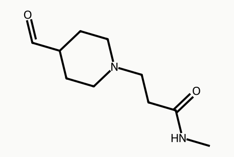 CNC(=O)CCN1CCC(C=O)CC1